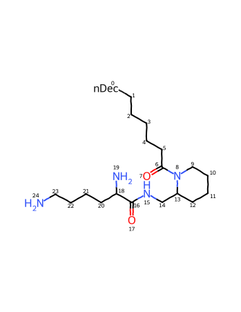 CCCCCCCCCCCCCCCC(=O)N1CCCCC1CNC(=O)C(N)CCCCN